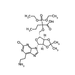 CCCC(OC[C@H]1O[C@@H](n2cnc3c(CCN)nc(Cl)nc32)[C@@H]2OC(C)(C)O[C@@H]21)(C(=O)O)P(=O)(OCC)OCC